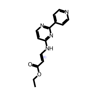 CCOC(=O)/C=C/Nc1ccnc(-c2ccncc2)n1